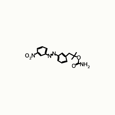 CC(C)(Cc1cccc(/N=N/c2cccc([N+](=O)[O-])c2)c1)OC(N)=O